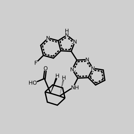 O=C(O)[C@H]1C2CCC(CC2)[C@@H]1Nc1nc(-c2n[nH]c3ncc(F)cc23)nn2cccc12